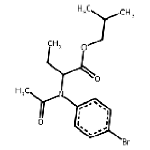 CCC(C(=O)OCC(C)C)N(C(C)=O)c1ccc(Br)cc1